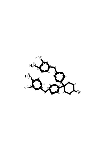 CCCc1cc(Cc2ccc(C3(c4ccc(Cc5ccc(N)c(CCC)c5)cc4)CCC(CCC)CC3)cc2)ccc1N